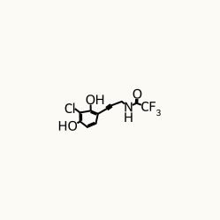 O=C(NCC#Cc1ccc(O)c(Cl)c1O)C(F)(F)F